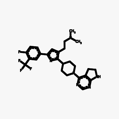 CN(C)CCn1cc(-c2ccc(F)c(C(F)(F)F)c2)nc1C1CCN(c2ncnc3c2CCN3)CC1